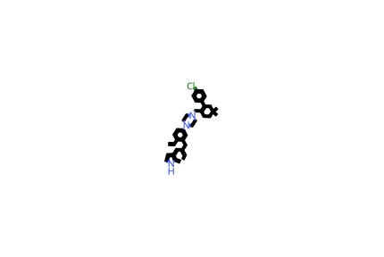 C=Cc1ccc(N2CCN(CC3=C(c4ccc(Cl)cc4)CC(C)(C)CC3)CC2)cc1CC(=C/C)/C=c1/cc[nH]c1=C